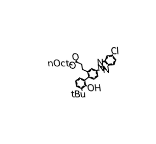 CCCCCCCCOC(=O)CCc1cc(-n2nc3ccc(Cl)cc3n2)ccc1-c1cccc(C(C)(C)C)c1O